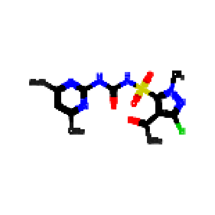 COC(=O)c1c(Cl)nn(C)c1S(=O)(=O)NC(=O)Nc1nc(OC)cc(OC)n1